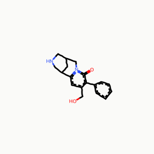 O=c1c(-c2ccccc2)c(CO)cc2n1CC1CNCC2C1